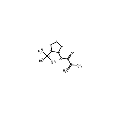 C=C(C)C(=O)OC1CCCC1C(C)(C)O